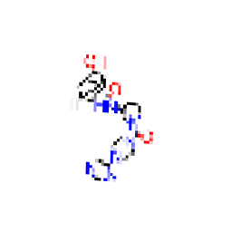 O=C(N1CCN(c2cnccn2)CC1)N1CCC[C@H](NC(=O)[C@]23CC4C[C@@H](CC(C2)C4O)C3)C1